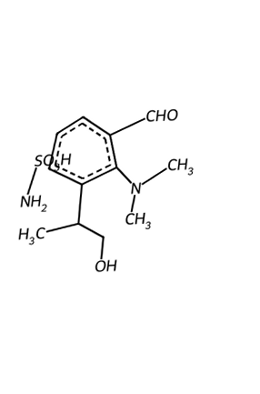 CC(CO)c1cccc(C=O)c1N(C)C.NS(=O)(=O)O